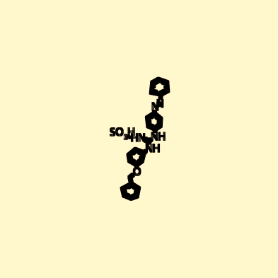 CS(=O)(=O)O.N=C(Nc1ccc(/N=N/c2ccccc2)cc1)Nc1cccc(OCc2ccccc2)c1